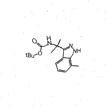 Cc1cccc2c(C(C)(C)NC(=O)OC(C)(C)C)n[nH]c12